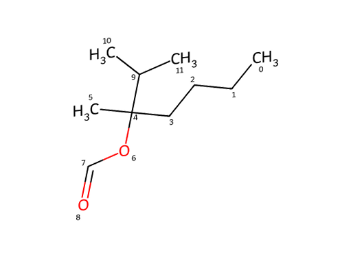 CCCCC(C)(OC=O)C(C)C